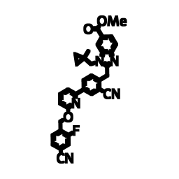 COC(=O)c1ccc2nc(Cc3ccc(-c4cccc(OCc5ccc(C#N)cc5F)n4)cc3C#N)n(CC3(C)CC3)c2c1